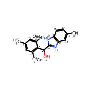 COc1cc(C)cc(OC)c1C(O)c1nc2cc(C#N)ccc2[nH]1